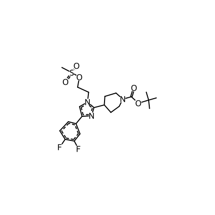 CC(C)(C)OC(=O)N1CCC(c2nc(-c3ccc(F)c(F)c3)cn2CCOS(C)(=O)=O)CC1